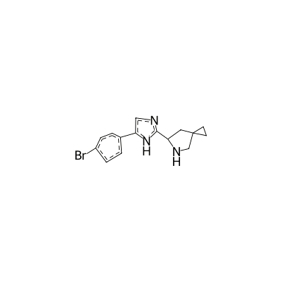 Brc1ccc(-c2cnc(C3CC4(CC4)CN3)[nH]2)cc1